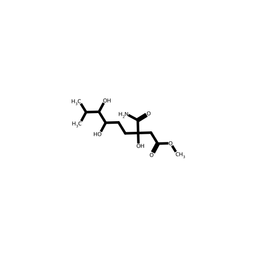 COC(=O)CC(O)(CCC(O)C(O)C(C)C)C(N)=O